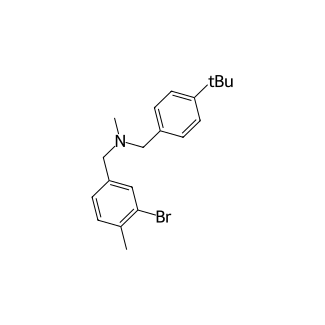 Cc1ccc(CN(C)Cc2ccc(C(C)(C)C)cc2)cc1Br